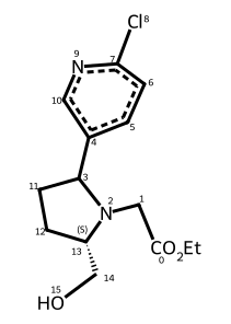 CCOC(=O)CN1C(c2ccc(Cl)nc2)CC[C@H]1CO